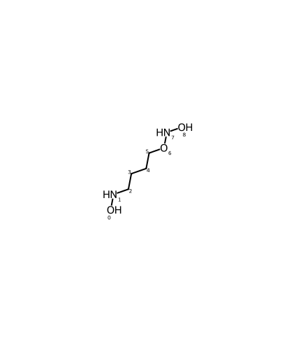 ONCCCCONO